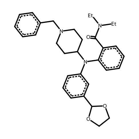 CCN(CC)C(=O)c1ccccc1N(c1cccc(C2OCCO2)c1)C1CCN(Cc2ccccc2)CC1